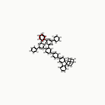 c1ccc(-c2nc(-c3ccccc3)nc(-c3ccc(-c4ccc(-c5ccc6c(c5)-c5ccccc5C65C6CC7CC8CC5C78C6)cc4)cc3-c3nc(-c4ccccc4)nc(-c4ccccc4)n3)n2)cc1